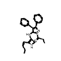 CC/C=C\C1=C(Nc2c(-c3ccccc3)c(-c3ccccc3)nn2C(=O)CC)CN1